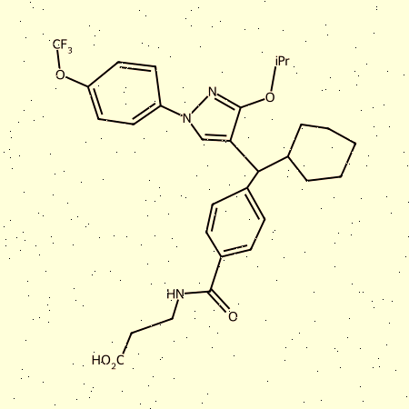 CC(C)Oc1nn(-c2ccc(OC(F)(F)F)cc2)cc1C(c1ccc(C(=O)NCCC(=O)O)cc1)C1CCCCC1